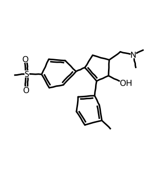 Cc1cccc(C2=C(c3ccc(S(C)(=O)=O)cc3)CC(CN(C)C)C2O)c1